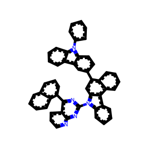 c1ccc(-n2c3ccccc3c3cc(-c4cc5c(c6ccccc46)c4ccccc4n5-c4nc(-c5cccc6ccccc56)c5cccnc5n4)ccc32)cc1